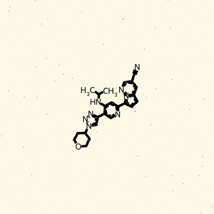 CC(C)Nc1cc(-c2ccc3cc(C#N)cnn23)ncc1-c1cn(C2CCOCC2)nn1